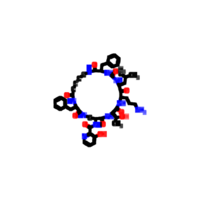 CC(C)CC1NC(=O)NC(Cc2ccccc2)C(=O)NCCCCC(=O)NC(Cc2ccccc2)C(=O)NCC(NC(=O)c2ncccc2O)C(=O)NC(C(C)O)C(=O)NC(CCCN)C1=O